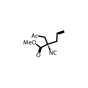 [C-]#[N+][C@](CC=C)(CC(C)=O)C(=O)OC